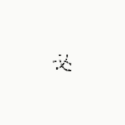 COC1(F)C(F)(F)C1(F)Cl